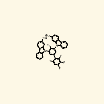 CC(C)(C)c1ccc2c3ccccc3n(-c3cc(-c4c(F)cc(F)c(F)c4F)cc(-n4c5ccccc5c5ccc(C(C)(C)C)cc54)c3C#N)c2c1